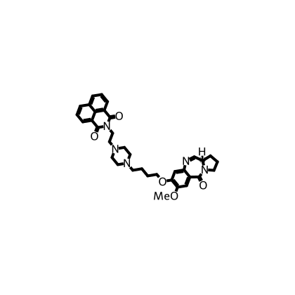 COc1cc2c(cc1OCCCCN1CCN(CCN3C(=O)c4cccc5cccc(c45)C3=O)CC1)N=C[C@@H]1CCCN1C2=O